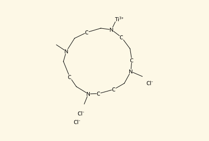 CN1CCCN(C)CCC[N]([Ti+3])CCCN(C)CCC1.[Cl-].[Cl-].[Cl-]